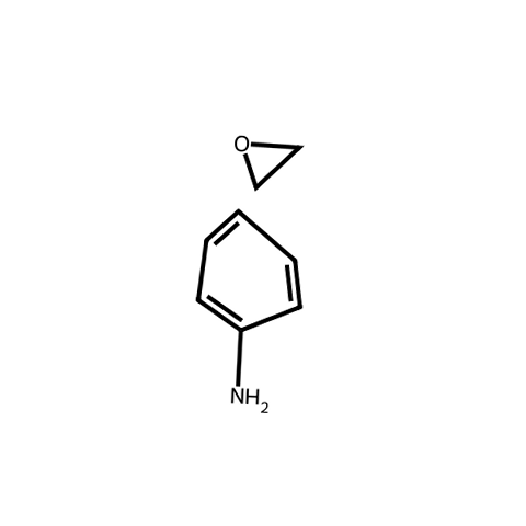 C1CO1.Nc1ccccc1